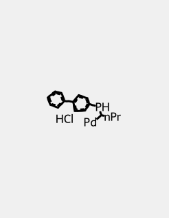 CCC[CH]([Pd])Pc1ccc(-c2ccccc2)cc1.Cl